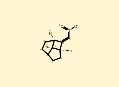 O=[N+]([O-])C=C1[C@H]2CCC3CC[C@@H]1[C@H]32